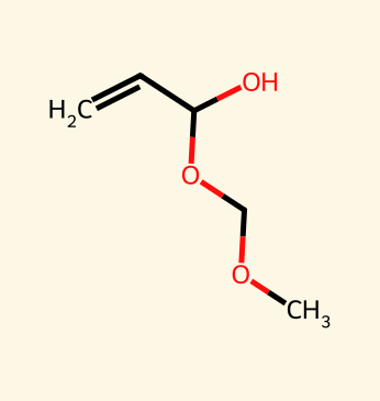 C=CC(O)OCOC